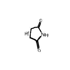 O=C1CCC(=O)N1.[Hf]